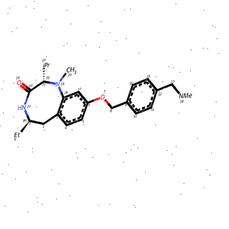 CC[C@@H]1Cc2ccc(OCc3ccc(CNC)cc3)cc2N(C)[C@@H](C(C)C)C(=O)N1